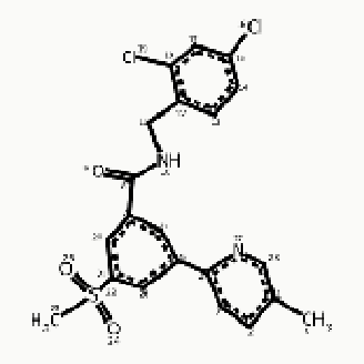 Cc1ccc(-c2cc(C(=O)NCc3ccc(Cl)cc3Cl)cc(S(C)(=O)=O)c2)nc1